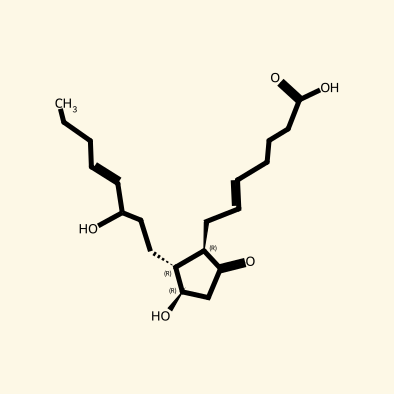 CCCC=CC(O)CC[C@H]1[C@H](O)CC(=O)[C@@H]1CC=CCCCC(=O)O